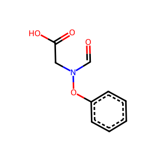 O=CN(CC(=O)O)Oc1ccccc1